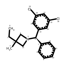 CCC1(C)CN([C@H](c2ccccc2)c2cc(Cl)cc(Cl)c2)C1